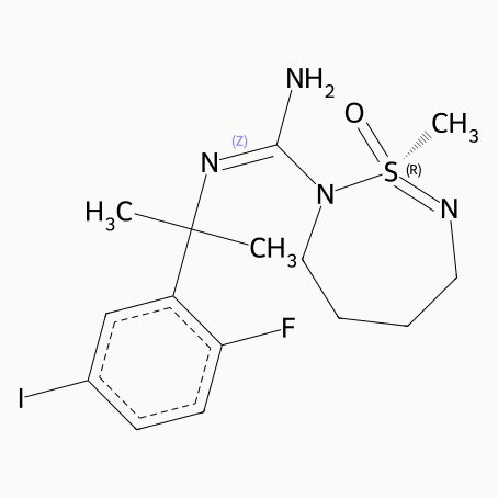 CC(C)(/N=C(/N)N1CCCCN=[S@]1(C)=O)c1cc(I)ccc1F